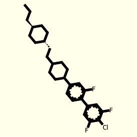 CCC[C@H]1CC[C@H](CCC2CCC(c3ccc(-c4cc(F)c(Cl)c(F)c4)c(F)c3)CC2)CC1